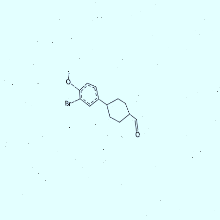 COc1ccc(C2CCC(C=O)CC2)cc1Br